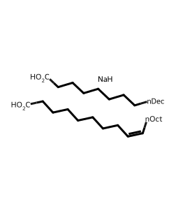 CCCCCCCC/C=C\CCCCCCCC(=O)O.CCCCCCCCCCCCCCCCCC(=O)O.[NaH]